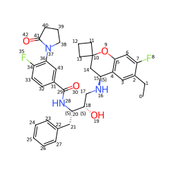 CCc1cc2c(cc1F)OC1(CCC1)C[C@@H]2NC[C@H](O)[C@H](Cc1ccccc1)NC(=O)c1ccc(F)c(N2CCCC2=O)c1